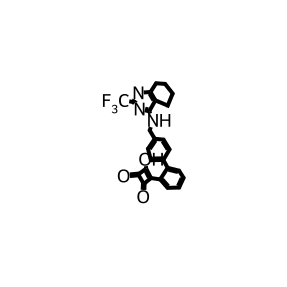 O=c1c(O)c(-c2ccccc2-c2ccc(CNc3nc(C(F)(F)F)nc4c3CCCC4)cc2)c1=O